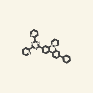 C1=CB2c3cc(-c4ccccc4)ccc3-c3ccc(-c4nc(-c5ccccn5)nc(-c5ccccn5)n4)cc3N2C=C1